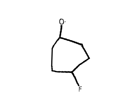 [O]C1CCC(F)CC1